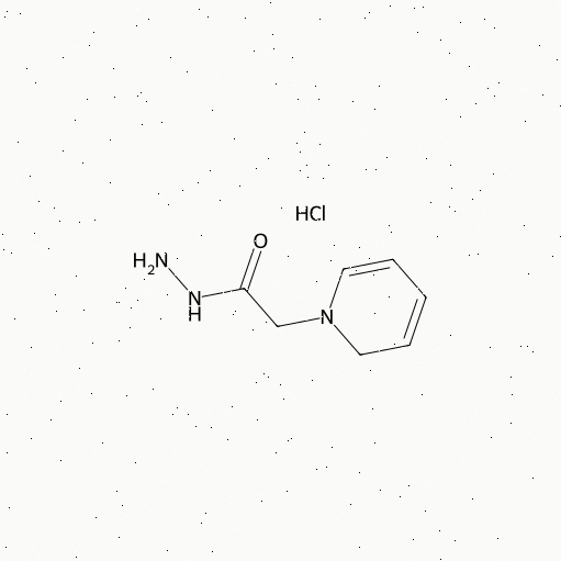 Cl.NNC(=O)CN1C=CC=CC1